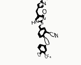 Cn1cc(Cc2c[nH]c(SCc3ccc(Oc4ccc(Cl)c(C(F)(F)F)c4)c(C#N)c3)nc2=O)cn1